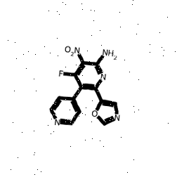 Nc1nc(-c2cnco2)c(-c2ccncc2)c(F)c1[N+](=O)[O-]